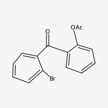 CC(=O)Oc1ccccc1C(=O)c1ccccc1Br